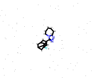 FC12CC3CC(C1)CC(c1nnc4n1CCCCC4)(C3)C2